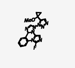 COC1(c2cnnn2N2C=NC3c4ccccc4-n4c(cnc4F)N32)CC1